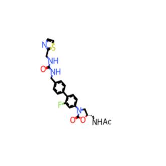 CC(=O)NC[C@H]1CN(c2ccc(-c3ccc(CNC(=O)NCc4nccs4)cc3)c(F)c2)C(=O)O1